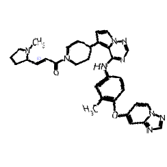 Cc1cc(Nc2ncnn3ccc(C4CCN(C(=O)/C=C/C5CCCN5C)CC4)c23)ccc1Oc1ccn2ncnc2c1